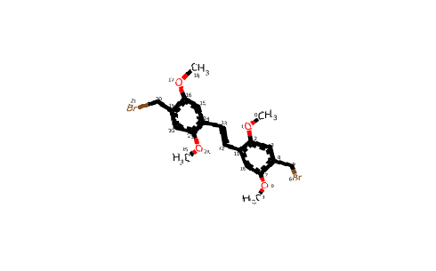 COc1cc(CBr)c(OC)cc1C=Cc1cc(OC)c(CBr)cc1OC